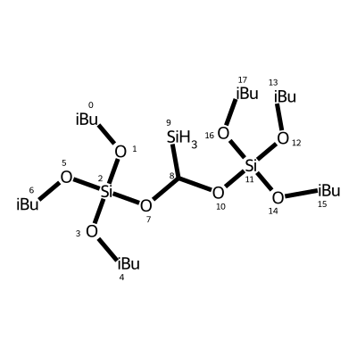 CCC(C)O[Si](OC(C)CC)(OC(C)CC)OC([SiH3])O[Si](OC(C)CC)(OC(C)CC)OC(C)CC